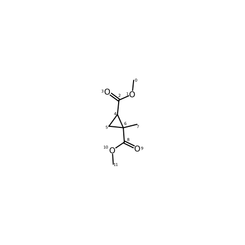 COC(=O)C1CC1(C)C(=O)OC